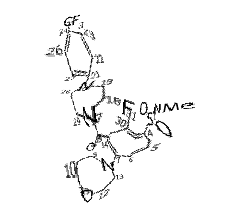 CNS(=O)(=O)c1ccc(N2CCOCC2)c(C(=O)N2CCN(c3ccc(C(F)(F)F)cc3)CC2)c1F